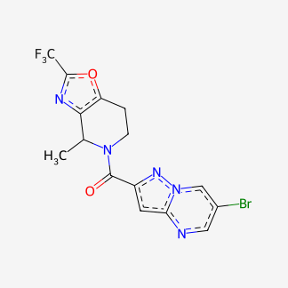 CC1c2nc(C(F)(F)F)oc2CCN1C(=O)c1cc2ncc(Br)cn2n1